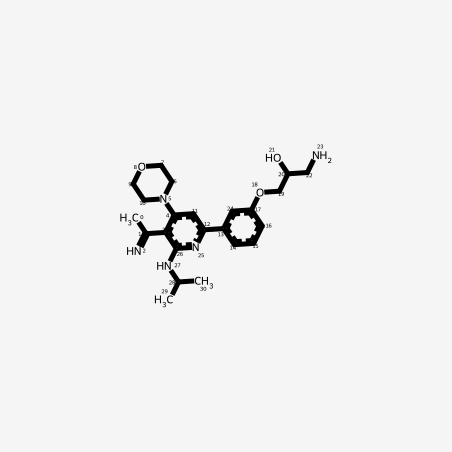 CC(=N)c1c(N2CCOCC2)cc(-c2cccc(OCC(O)CN)c2)nc1NC(C)C